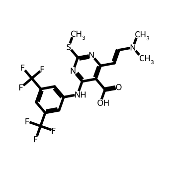 CSc1nc(/C=C/N(C)C)c(C(=O)O)c(Nc2cc(C(F)(F)F)cc(C(F)(F)F)c2)n1